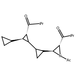 CC(=O)N1[C@@H](C(=O)C(C)C)[C@@H]1C1CC1C1[C@@H](C2CC2)[C@@H]1C(=O)C(C)C